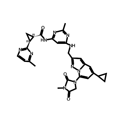 Cc1ccnc([C@H]2C[C@@H]2C(=O)Nc2cc(NCc3cc4cc(C5CC5)cc(N5CC(=O)N(C)C5=O)n4n3)nc(C)n2)n1